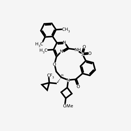 COC1CC(N2C(=O)c3cccc(c3)S(=O)(=O)Nc3nc(c(C)c(-c4c(C)cccc4C)n3)OC[C@H]2CC2(C(F)(F)F)CC2)C1